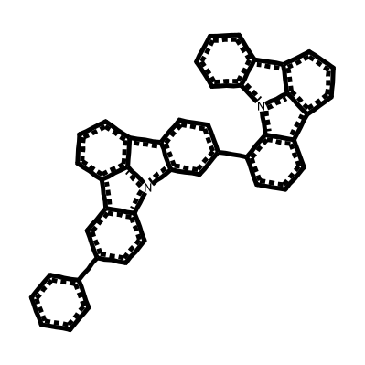 c1ccc(-c2ccc3c(c2)c2cccc4c5ccc(-c6cccc7c8cccc9c%10ccccc%10n(c67)c98)cc5n3c24)cc1